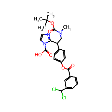 CN(CC(c1ccc(OC(=O)c2cccc(C(Cl)Cl)c2)cc1)c1nccn1C(=O)O)C(=O)OC(C)(C)C